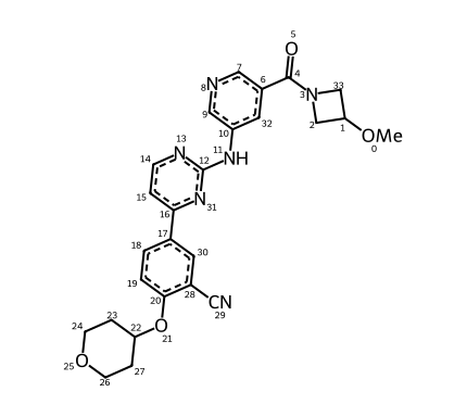 COC1CN(C(=O)c2cncc(Nc3nccc(-c4ccc(OC5CCOCC5)c(C#N)c4)n3)c2)C1